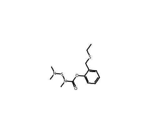 CCSCc1ccccc1OC(=O)N(C)SN(C)C